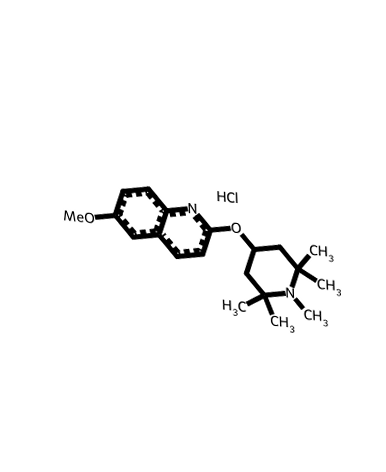 COc1ccc2nc(OC3CC(C)(C)N(C)C(C)(C)C3)ccc2c1.Cl